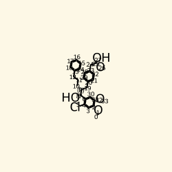 COc1cc(Cl)c(C(O)[C@H](CCCc2ccccc2)Cc2ccc(CC(=O)O)cc2)cc1OC